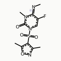 C/N=c1\c(F)cn(S(=O)(=O)c2c(C)noc2C)c(=O)n1C